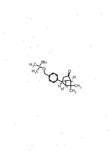 CC1(C)[C@@H]2C[C@H]1C(=O)C[C@H]2c1ccc(CO[Si](C)(C)C(C)(C)C)cc1